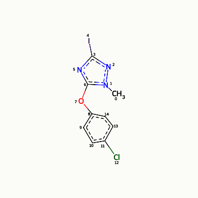 Cn1nc(I)nc1Oc1ccc(Cl)cc1